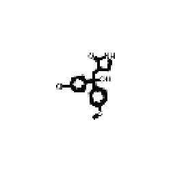 CSc1ccc(C(O)(CC2CCNC2=O)c2ccc(Cl)cc2)cc1